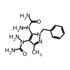 Cc1nn(Cc2ccccc2)c(N(N)C(N)=O)c1N(N)C(N)=O